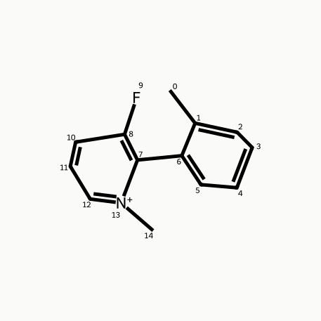 Cc1ccccc1-c1c(F)ccc[n+]1C